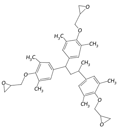 Cc1cc(C(C)CC(c2cc(C)c(OCC3CO3)c(C)c2)c2cc(C)c(OCC3CO3)c(C)c2)cc(C)c1OCC1CO1